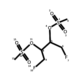 CS(=O)(=O)OC(CF)C(CF)OS(C)(=O)=O